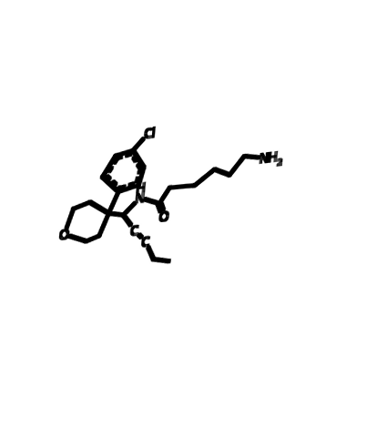 CCCCC(NC(=O)CCCCCN)C1(c2ccc(Cl)cc2)CCOCC1